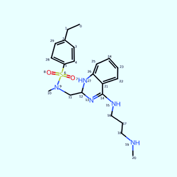 CCc1ccc(S(=O)(=O)N(C)CC2N=C(NCCCNC)c3ccccc3N2)cc1